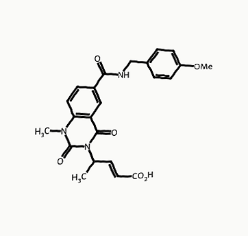 COc1ccc(CNC(=O)c2ccc3c(c2)c(=O)n(C(C)C=CC(=O)O)c(=O)n3C)cc1